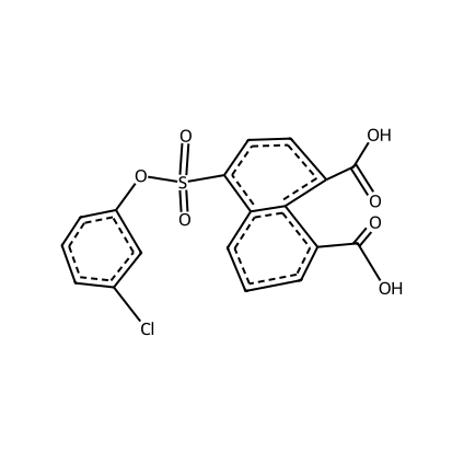 O=C(O)c1cccc2c(S(=O)(=O)Oc3cccc(Cl)c3)ccc(C(=O)O)c12